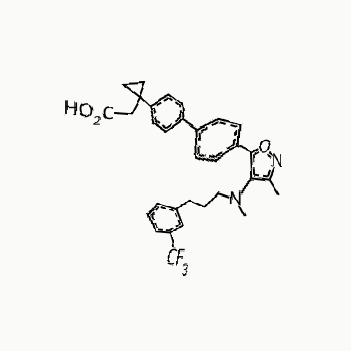 Cc1noc(-c2ccc(-c3ccc(C4(CC(=O)O)CC4)cc3)cc2)c1N(C)CCCc1cccc(C(F)(F)F)c1